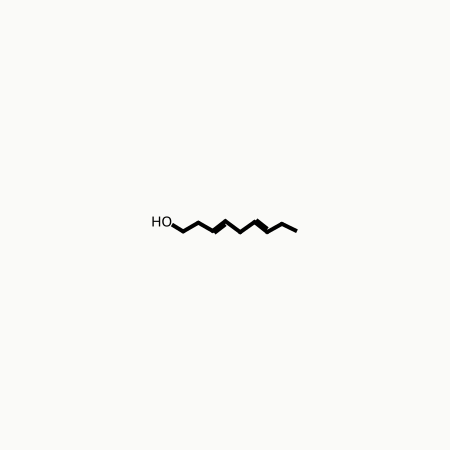 CC/C=C/C/C=C/CCO